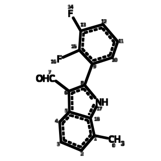 Cc1cccc2c(C=O)c(-c3cccc(F)c3F)[nH]c12